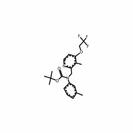 Cc1cccc(N(Cc2nccc(OCC(F)(F)F)c2C)C(=O)OC(C)(C)C)c1